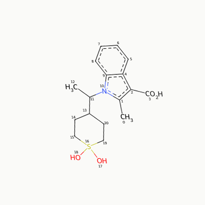 Cc1c(C(=O)O)c2ccccc2n1C(C)C1CCS(O)(O)CC1